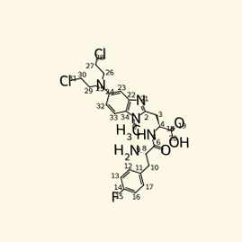 Cn1c(C[C@H](NC(=O)[C@@H](N)Cc2ccc(F)cc2)C(=O)O)nc2cc(N(CCCl)CCCl)ccc21